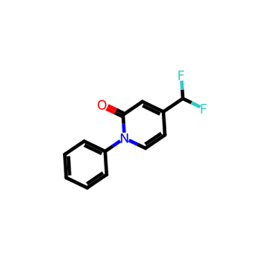 O=c1cc(C(F)F)ccn1-c1ccccc1